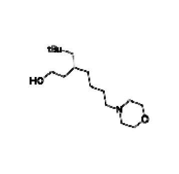 CC(C)(C)C[C@@H](CCO)CCCCN1CCOCC1